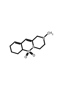 CN1CCN2C(=CC3=CCCCC3S2(=O)=O)C1